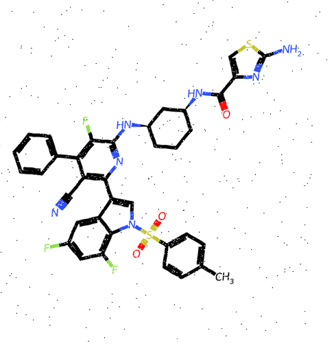 Cc1ccc(S(=O)(=O)n2cc(-c3nc(N[C@@H]4CCC[C@H](NC(=O)c5csc(N)n5)C4)c(F)c(-c4ccccc4)c3C#N)c3cc(F)cc(F)c32)cc1